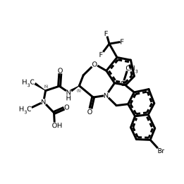 COc1ccc2cc(Br)ccc2c1CN1C(=O)[C@@H](NC(=O)[C@H](C)N(C)C(=O)O)COc2c1cccc2C(F)(F)F